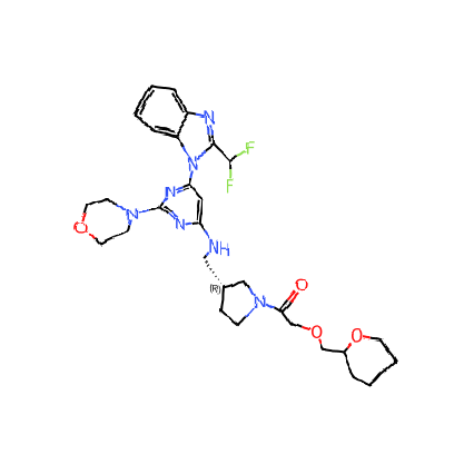 O=C(COCC1CCCCO1)N1CC[C@H](CNc2cc(-n3c(C(F)F)nc4ccccc43)nc(N3CCOCC3)n2)C1